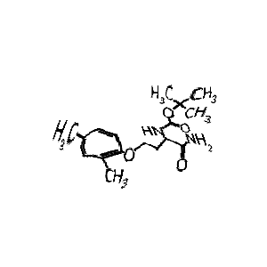 Cc1ccc(OCCC(NC(=O)OC(C)(C)C)C(N)=O)c(C)c1